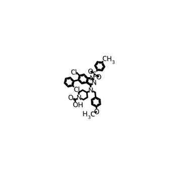 COc1ccc(CN(c2nn(S(=O)(=O)c3ccc(C)cc3)c3cc(Cl)c(-c4ccccc4Cl)cc23)C2CCN(C(=O)O)CC2)cc1